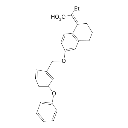 CCC(C(=O)O)=C1CCCc2cc(OCc3cccc(Oc4ccccc4)c3)ccc21